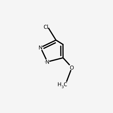 COC1=CC(Cl)=N[N]1